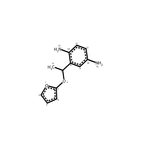 CC(Oc1ccco1)c1cc(N)ccc1N